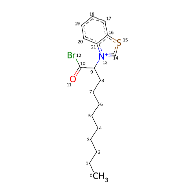 CCCCCCCCCC(C(=O)Br)[n+]1csc2ccccc21